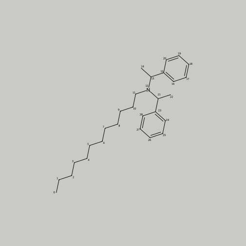 CCCCCCCCCCCCN(C(C)c1ccccc1)C(C)c1ccccc1